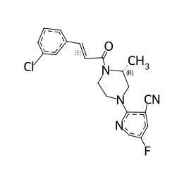 C[C@@H]1CN(c2ncc(F)cc2C#N)CCN1C(=O)/C=C/c1cccc(Cl)c1